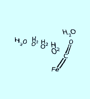 O.O.O.O.O.O=[C]=[Fe]